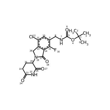 CC(C)(C)OC(=O)NCc1cc(Cl)c2c(c1F)C(=O)N(C1CCC(=O)NC1=O)C2